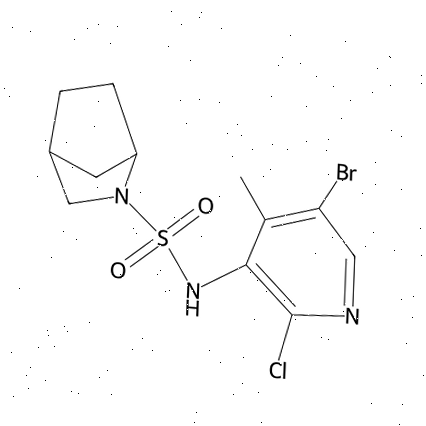 Cc1c(Br)cnc(Cl)c1NS(=O)(=O)N1CC2CCC1C2